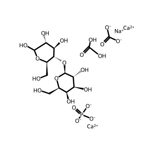 O=C(O)O.O=C([O-])[O-].O=P([O-])([O-])[O-].OC[C@H]1O[C@@H](O[C@H]2[C@H](O)[C@@H](O)C(O)O[C@@H]2CO)[C@H](O)[C@@H](O)[C@H]1O.[Ca+2].[Ca+2].[Na+]